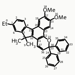 CCc1ccc2c(c1)C(C)(C)c1c3c(c4cc(OC)c(OC)cc4c1-2)OC(c1ccccc1)(c1ccccc1)C=C3